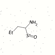 CCCC(N)[S+]=O